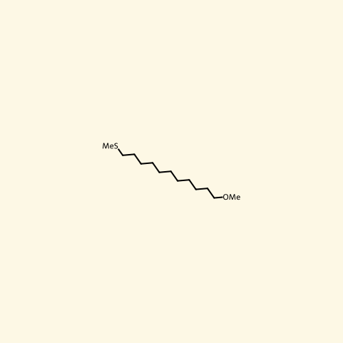 COCCCCCCCCCCCSC